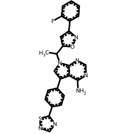 CC(c1cc(-c2ccccc2F)no1)n1cc(-c2ccc(-c3ncns3)cc2)c2c(N)ncnc21